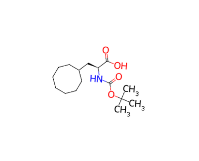 CC(C)(C)OC(=O)N[C@@H](CC1CCCCCCC1)C(=O)O